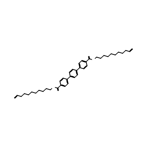 C=CCCCCCCCCCOC(=O)c1ccc(-c2ccc(-c3ccc(C(=O)OCCCCCCCCCC=C)cc3)cc2)cc1